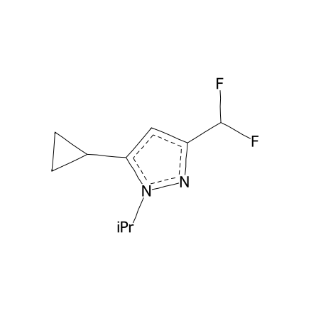 CC(C)n1nc(C(F)F)cc1C1CC1